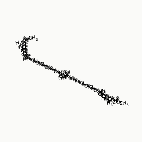 CCOC(=O)/C(C)=C/c1cc(F)c(Oc2ccc(S(=O)(=O)NCCOCCOCCOCCOCCOCCOCCNC(=O)[C@H](O)[C@@H](O)C(=O)NCCOCCOCCOCCOCCOCCOCCNS(=O)(=O)c3ccc(Oc4c(F)cc(/C=C(\C)C(=O)OCC)cc4F)cc3)cc2)c(F)c1